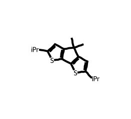 CC(C)c1cc2c(s1)-c1sc(C(C)C)cc1C2(C)C